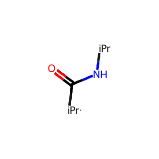 C[C](C)C(=O)NC(C)C